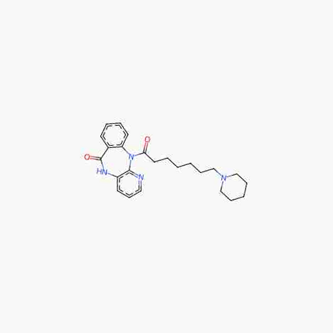 O=C1Nc2cccnc2N(C(=O)CCCCCCN2CCCCC2)c2ccccc21